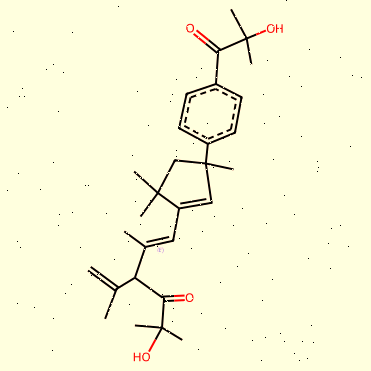 C=C(C)C(C(=O)C(C)(C)O)/C(C)=C/C1=CC(C)(c2ccc(C(=O)C(C)(C)O)cc2)CC1(C)C